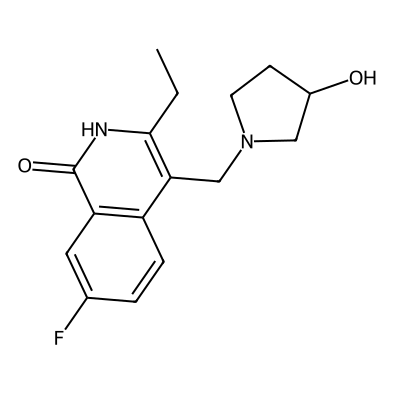 CCc1[nH]c(=O)c2cc(F)ccc2c1CN1CCC(O)C1